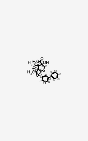 CC(=O)[C@]1(O)[C@@](O)(C(C)=O)CS[C@H](Oc2cncc(-c3ccccc3)c2)[C@@]1(O)C(C)=O